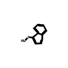 CC(C)(C)Sc1cccc2ccccc12